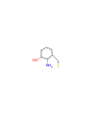 Nc1c(O)cccc1C=S